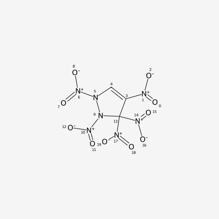 O=[N+]([O-])C1=CN([N+](=O)[O-])N([N+](=O)[O-])C1([N+](=O)[O-])[N+](=O)[O-]